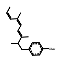 C\C=C/C(C)=C\C=C(/C)C(C)Cc1ccc(OC)cc1